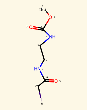 CC(C)(C)OC(=O)NCCNC(=O)CI